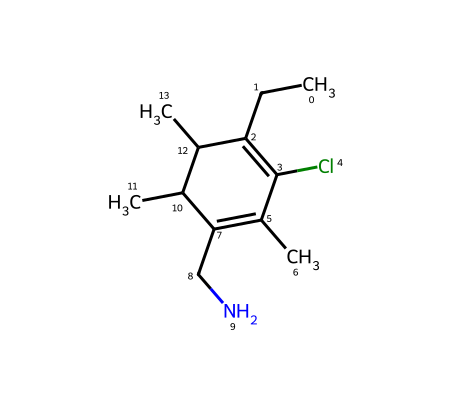 CCC1=C(Cl)C(C)=C(CN)C(C)C1C